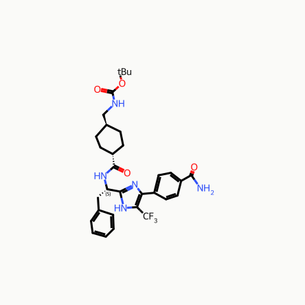 CC(C)(C)OC(=O)NC[C@H]1CC[C@H](C(=O)N[C@@H](Cc2ccccc2)c2nc(-c3ccc(C(N)=O)cc3)c(C(F)(F)F)[nH]2)CC1